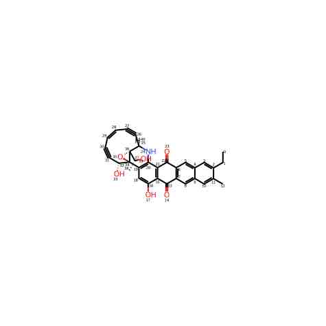 CCc1cc2cc3c(cc2cc1C)C(=O)c1c(O)cc2c(c1C3=O)N[C@H]1C#C/C=C\C#C[C@@H](O)[C@@]23O[C@@]13[C@@H](C)O